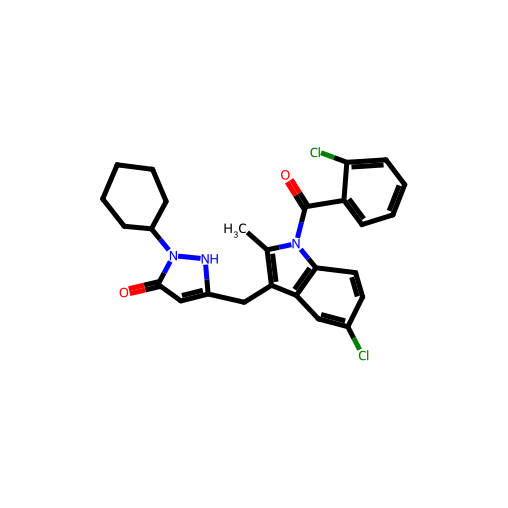 Cc1c(Cc2cc(=O)n(C3CCCCC3)[nH]2)c2cc(Cl)ccc2n1C(=O)c1ccccc1Cl